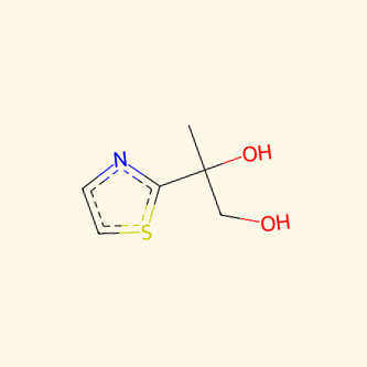 CC(O)(CO)c1nccs1